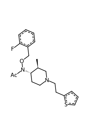 CC(=O)N(OCc1ccccc1F)[C@H]1CCN(CCc2cccs2)C[C@@H]1C